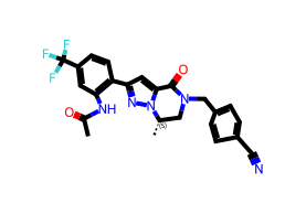 CC(=O)Nc1cc(C(F)(F)F)ccc1-c1cc2n(n1)[C@@H](C)CN(Cc1ccc(C#N)cc1)C2=O